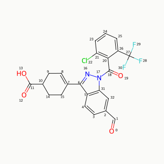 O=Cc1ccc2c(C3=CCC(C(=O)O)CC3)nn(C(=O)c3c(Cl)cccc3C(F)(F)F)c2c1